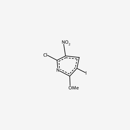 COc1nc(Cl)c([N+](=O)[O-])cc1I